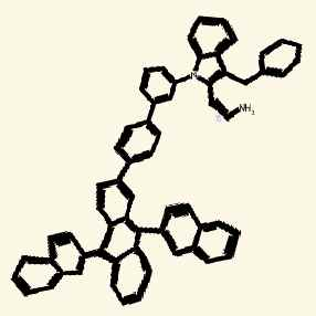 N/C=C\c1c(CC2=CCCC=C2)c2ccccc2n1-c1cccc(-c2ccc(-c3ccc4c(-c5ccc6ccccc6c5)c5ccccc5c(-c5ccc6ccccc6c5)c4c3)cc2)c1